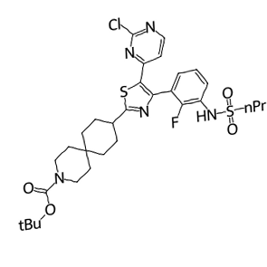 CCCS(=O)(=O)Nc1cccc(-c2nc(C3CCC4(CC3)CCN(C(=O)OC(C)(C)C)CC4)sc2-c2ccnc(Cl)n2)c1F